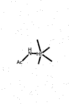 CC(=O)[NH][Hf]([CH3])([CH3])([CH3])[CH3]